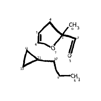 CC1(C=O)CC=CO1.CCCC1CC1